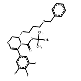 CC(C)(C)OC(=O)N1C(c2cc(F)c(F)c(F)c2)=COC[C@@H]1CCCCOCc1ccccc1